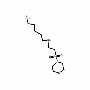 CCCCCCNCCS(=O)(=O)N1CCOCC1